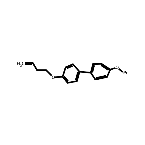 C=CCCOc1ccc(-c2ccc(OC(C)C)cc2)cc1